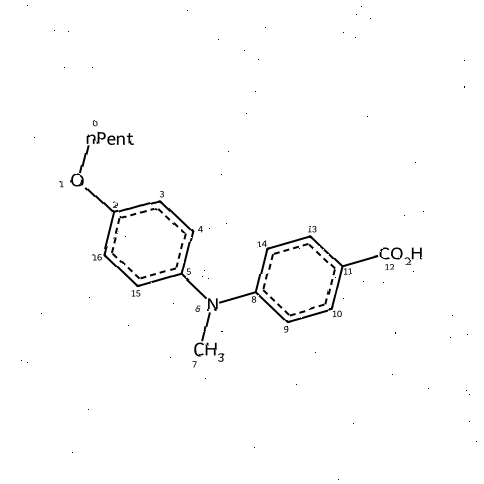 CCCCCOc1ccc(N(C)c2ccc(C(=O)O)cc2)cc1